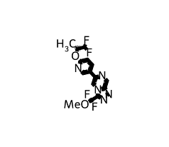 COC(F)(F)c1nnc2cnc(-c3ccc(O[C@H](C)C(F)F)nc3)cn12